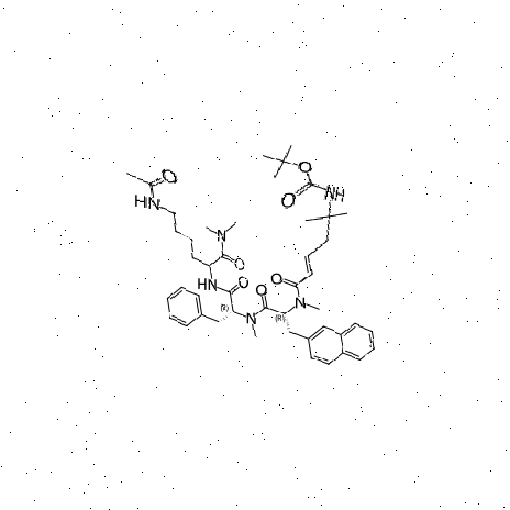 CC(=O)NCCCCC(NC(=O)[C@@H](Cc1ccccc1)N(C)C(=O)[C@@H](Cc1ccc2ccccc2c1)N(C)C(=O)C=CCC(C)(C)NC(=O)OC(C)(C)C)C(=O)N(C)C